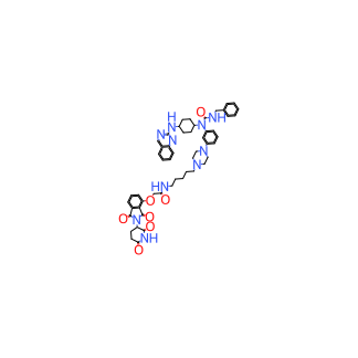 O=C(COc1cccc2c1C(=O)N(C1CCC(=O)NC1=O)C2=O)NCCCCCN1CCN(c2cccc(N(C(=O)NCc3ccccc3)C3CCC(Nc4ncc5ccccc5n4)CC3)c2)CC1